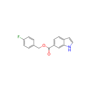 O=C(OCc1ccc(F)cc1)c1ccc2cc[nH]c2c1